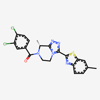 Cc1ccc2nc(-c3nnc4n3CCN(C(=O)c3ccc(Cl)c(Cl)c3)[C@@H]4C)sc2c1